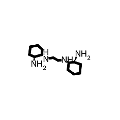 N[C@H]1CCCC[C@H]1NCCN[C@@H]1CCCC[C@@H]1N